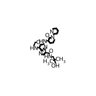 CC(C)(CO)CNC(=O)c1cnc2c3c(c(Nc4cccn(-c5ccccn5)c4=O)nn12)OCCN3